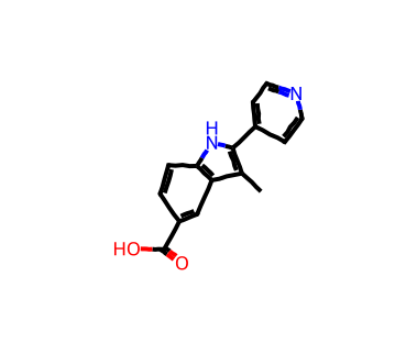 Cc1c(-c2ccncc2)[nH]c2ccc(C(=O)O)cc12